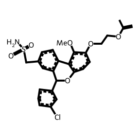 C=C(C)OCCOc1ccc2c(c1OC)-c1ccc(CS(N)(=O)=O)cc1C(c1cccc(Cl)c1)O2